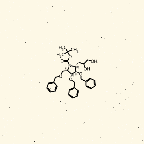 CC(C)(C)OC(=O)N1[C@H](COCc2ccccc2)[C@@H](OCc2ccccc2)[C@H](OCc2ccccc2)[C@H]1CC(O)CO